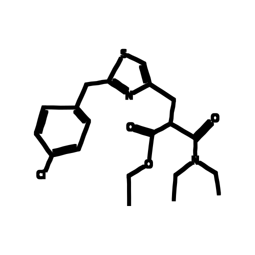 CCOC(=O)C(Cc1csc(Cc2ccc(Cl)cc2)n1)C(=O)N(CC)CC